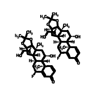 CC1(C)O[C@@H]2C[C@H]3[C@@H]4C[C@H](F)C5=CC(=O)C=C[C@]5(C)[C@H]4[C@@H](O)C[C@]3(C)[C@]2(C(=O)CO)O1.CC1(C)O[C@@H]2C[C@H]3[C@@H]4C[C@H](F)C5=CC(=O)C=C[C@]5(C)[C@H]4[C@@H](O)C[C@]3(C)[C@]2(C(=O)CO)O1